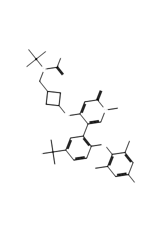 Cc1cc(F)cc(C)c1Oc1ccc(C(C)(C)O)cc1-c1cn(C)c(=O)cc1OC1CC(CN(C(=O)O)C(C)(C)C)C1